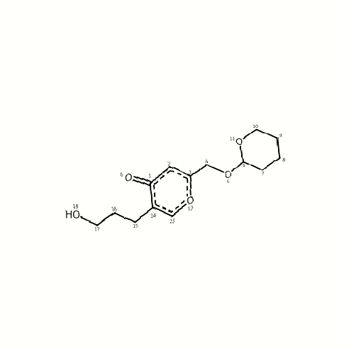 O=c1cc(COC2CCCCO2)occ1CCCO